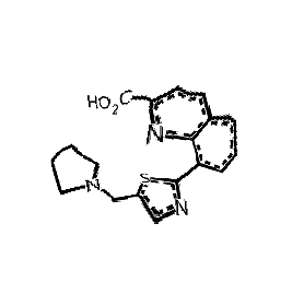 O=C(O)c1ccc2cccc(-c3ncc(CN4CCCC4)s3)c2n1